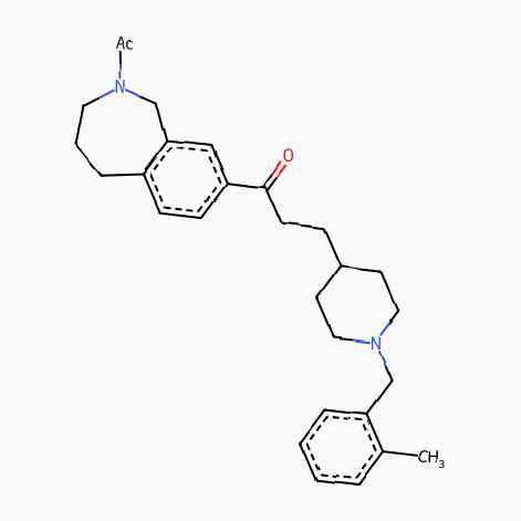 CC(=O)N1CCCc2ccc(C(=O)CCC3CCN(Cc4ccccc4C)CC3)cc2C1